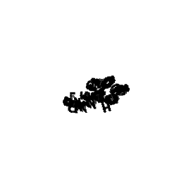 CC(C)(C)OC(=O)N1CCC[C@H](Nc2cc(-c3ccccc3N3CCOCC3)cc(Nc3ncc(-c4nnn(-c5c(F)cccc5Cl)n4)s3)n2)C1